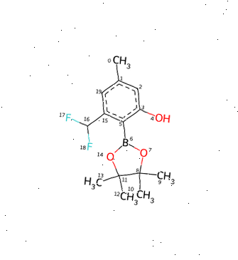 Cc1cc(O)c(B2OC(C)(C)C(C)(C)O2)c(C(F)F)c1